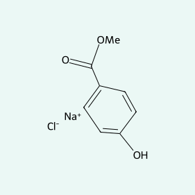 COC(=O)c1ccc(O)cc1.[Cl-].[Na+]